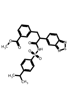 COC(=O)c1cccc(CC(C(=O)NS(=O)(=O)c2ccc(C(C)C)cc2)c2ccc3nsnc3c2)c1